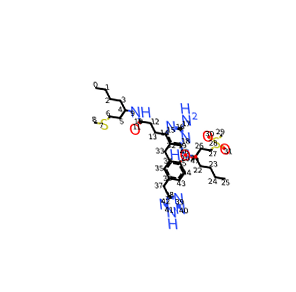 CCCCC(CCSC)NC(=O)CCc1nc(N)nc(NC(CCCC)CCS(C)(=O)=O)c1Cc1cc(Cc2nn[nH]n2)ccc1OC